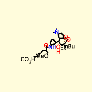 CCCCC1(CC)CS(=O)(=O)c2ccc(N(C)C)cc2C(c2cccc(NC(=O)C(CCCCCC(=O)O)COC)c2)C1O